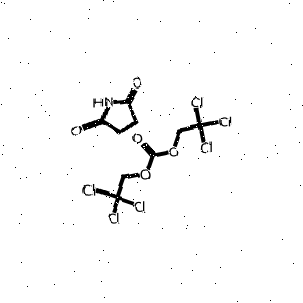 O=C(OCC(Cl)(Cl)Cl)OCC(Cl)(Cl)Cl.O=C1CCC(=O)N1